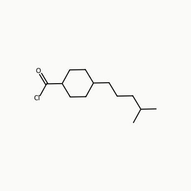 CC(C)CCCC1CCC(C(=O)Cl)CC1